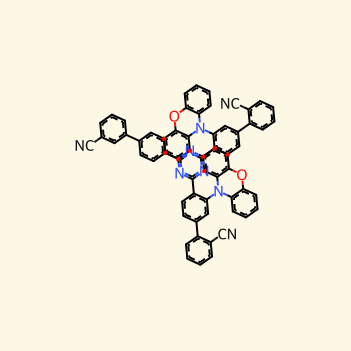 N#Cc1cccc(-c2ccc(-c3nc(-c4ccc(-c5ccccc5C#N)cc4N4c5ccccc5Oc5ccccc54)nc(-c4ccc(-c5ccccc5C#N)cc4N4c5ccccc5Oc5ccccc54)n3)cc2)c1